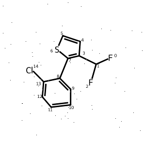 FC(F)c1ccsc1-c1ccccc1Cl